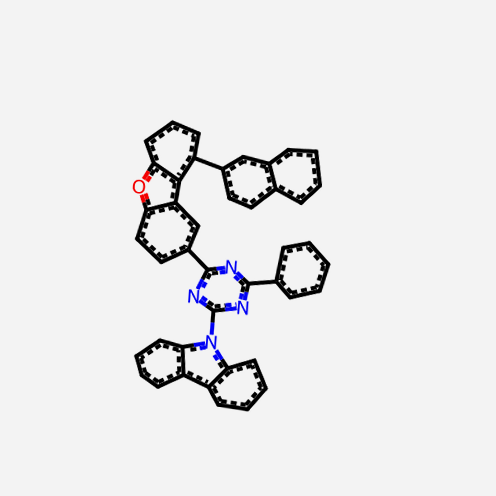 c1ccc(-c2nc(-c3ccc4oc5cccc(-c6ccc7ccccc7c6)c5c4c3)nc(-n3c4ccccc4c4ccccc43)n2)cc1